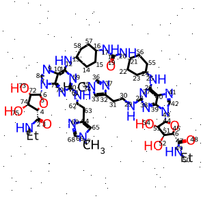 CCNC(=O)[C@H]1O[C@@H](n2cnc3c(N[C@H]4CC[C@H](NC(=O)N[C@H]5CC[C@H](Nc6nc(NCCc7cn(C)cn7)nc7c6ncn7[C@@H]6O[C@H](C(=O)NCC)[C@@H](O)[C@H]6O)CC5)CC4)nc(NCCc4cn(C)cn4)nc32)[C@H](O)[C@@H]1O